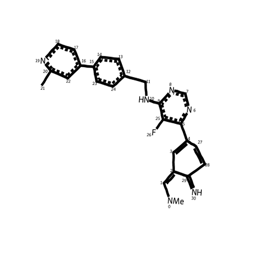 CN/C=C1/C=C(c2ncnc(NCc3ccc(-c4ccnc(C)c4)cc3)c2F)C=CC1=N